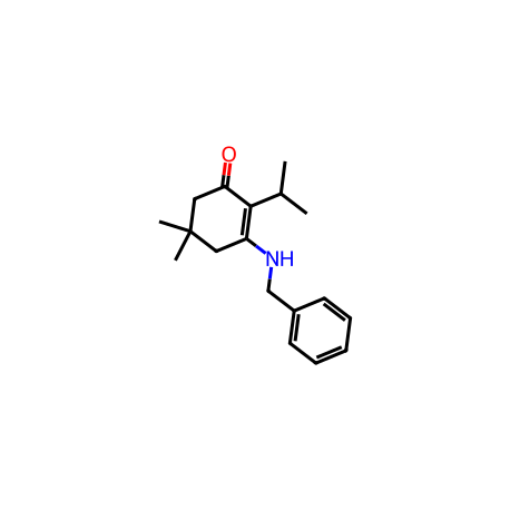 CC(C)C1=C(NCc2ccccc2)CC(C)(C)CC1=O